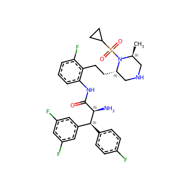 C[C@H]1CNC[C@H](CCc2c(F)cccc2NC(=O)[C@@H](N)[C@@H](c2ccc(F)cc2)c2cc(F)cc(F)c2)N1S(=O)(=O)C1CC1